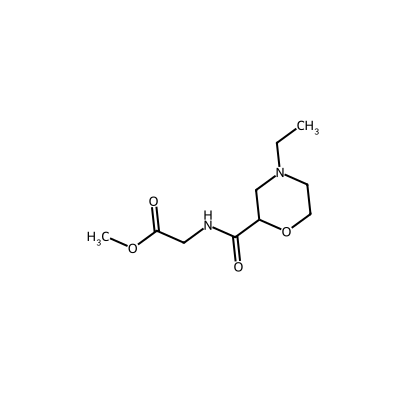 CCN1CCOC(C(=O)NCC(=O)OC)C1